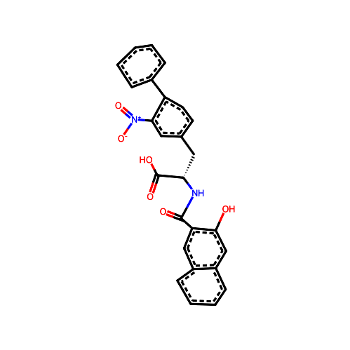 O=C(N[C@@H](Cc1ccc(-c2ccccc2)c([N+](=O)[O-])c1)C(=O)O)c1cc2ccccc2cc1O